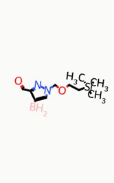 Bc1cn(COCC[Si](C)(C)C)nc1C=O